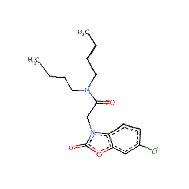 CCCCN(CCCC)C(=O)Cn1c(=O)oc2cc(Cl)ccc21